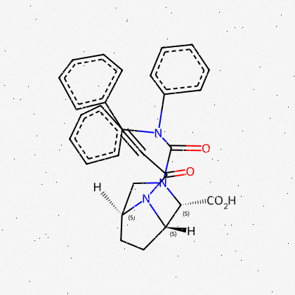 O=C(O)[C@@H]1[C@@H]2CC[C@@H](CN1C(=O)N(c1ccccc1)c1ccccc1)N2C(=O)C#Cc1ccccc1